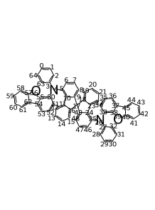 c1ccc(N(c2cccc3c2-c2ccccc2C32c3ccccc3-c3c(N(c4ccccc4)c4cccc5c4oc4ccccc45)cccc32)c2cccc3c2oc2ccccc23)cc1